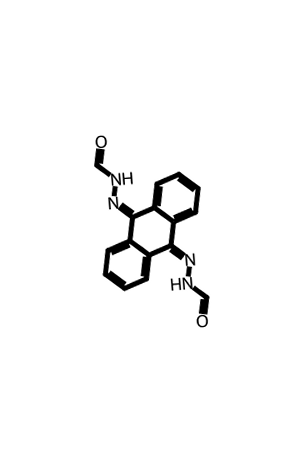 O=CNN=C1c2ccccc2C(=NNC=O)c2ccccc21